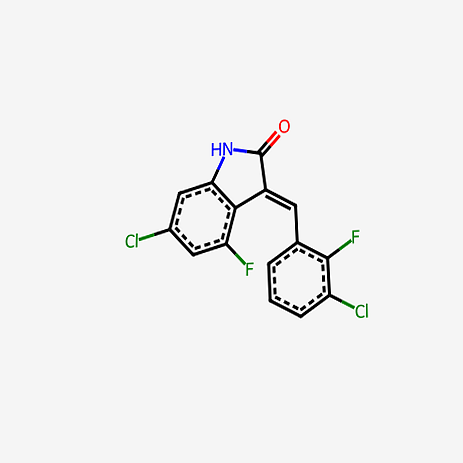 O=C1Nc2cc(Cl)cc(F)c2/C1=C\c1cccc(Cl)c1F